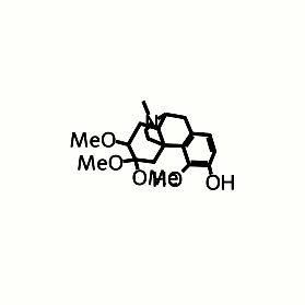 COC1CC2C3Cc4ccc(O)c(O)c4C2(CCN3C)CC1(OC)OC